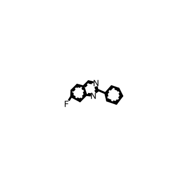 Fc1ccc2cnc(-c3ccccc3)nc2c1